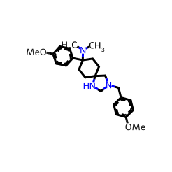 COc1ccc(CN2CNC3(CCC(c4ccc(OC)cc4)(N(C)C)CC3)C2)cc1